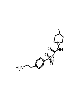 CC1CCN(NC(=O)NS(=O)(=O)c2ccc(CCN)cc2)CC1